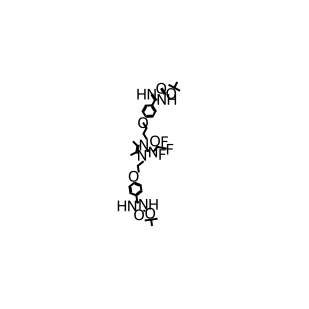 Cc1c(C)n(CCCOc2ccc(C(=N)NC(=O)OC(C)(C)C)cc2)c(=NC(=O)C(F)(F)F)n1CCCOc1ccc(C(=N)NC(=O)OC(C)(C)C)cc1